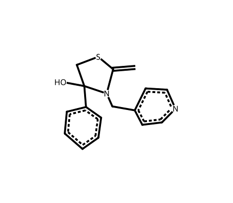 C=C1SCC(O)(c2ccccc2)N1Cc1ccncc1